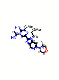 CNc1nc(-c2nc3cnc(N4CCOC[C@@H]4C)cc3n2[C@@H](C)COC)cn(C(C)=N)c1=N